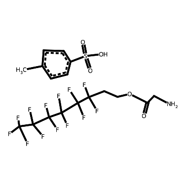 Cc1ccc(S(=O)(=O)O)cc1.NCC(=O)OCCC(F)(F)C(F)(F)C(F)(F)C(F)(F)C(F)(F)C(F)(F)F